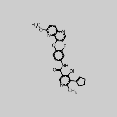 COc1ccc2nccc(Oc3ccc(NC(=O)c4cnc(C)c(C5=CCCC5)c4O)cc3F)c2n1